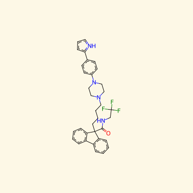 O=C(NCC(F)(F)F)C1(CCCCN2CCN(c3ccc(-c4ccc[nH]4)cc3)CC2)c2ccccc2-c2ccccc21